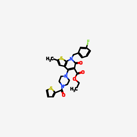 CCOC(=O)c1c(N2CCN(C(=O)c3cccs3)CC2)c2cc(C)sc2n(Cc2cccc(F)c2)c1=O